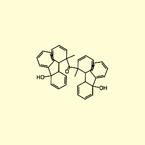 CC1(C(=O)C2(C)C=CC=CC2C2C=CC=CC2(O)c2ccccc2)C=CC=CC1C1C=CC=CC1(O)c1ccccc1